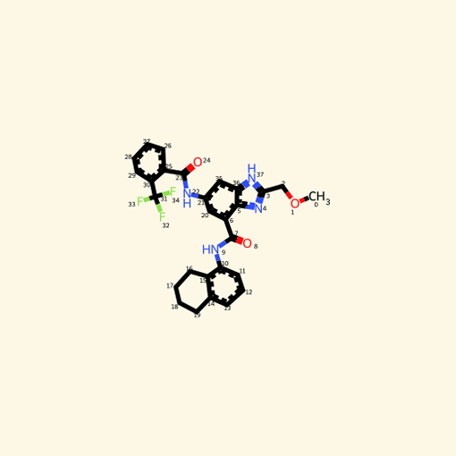 COCc1nc2c(C(=O)Nc3cccc4c3CCCC4)cc(NC(=O)c3ccccc3C(F)(F)F)cc2[nH]1